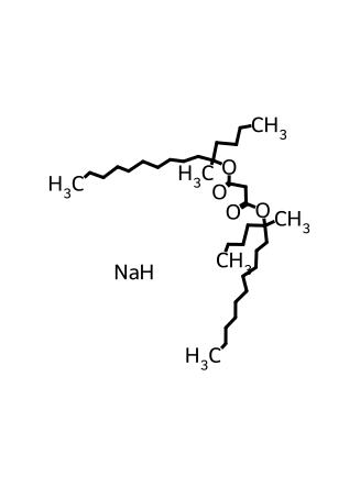 CCCCCCCCCCC(C)(CCCC)OC(=O)CC(=O)OC(C)(CCCC)CCCCCCCCCC.[NaH]